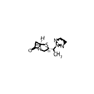 CC([C@@H]1CN2C(=O)C[C@H]2S1)n1nccn1